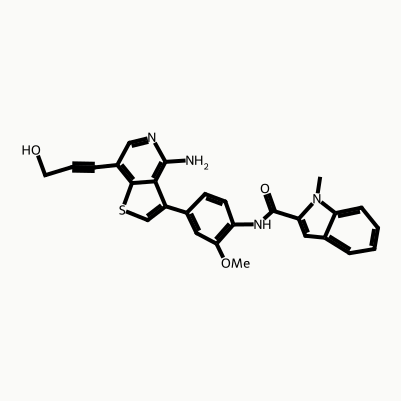 COc1cc(-c2csc3c(C#CCO)cnc(N)c23)ccc1NC(=O)c1cc2ccccc2n1C